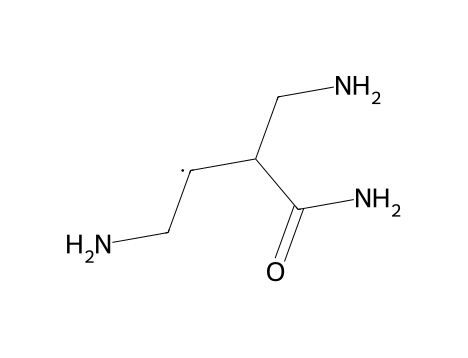 NC[CH]C(CN)C(N)=O